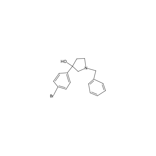 OC1(c2ccc(Br)cc2)CCN(Cc2ccccc2)C1